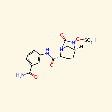 NC(=O)c1cccc(NC(=O)[C@H]2CC[C@H]3CN2C(=O)N3OS(=O)(=O)O)c1